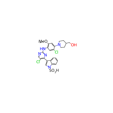 CC.COc1cc(N2CCC(CO)CC2)c(Cl)cc1Nc1ncc(Cl)c(-c2cn(S(=O)(=O)O)c3ccccc23)n1